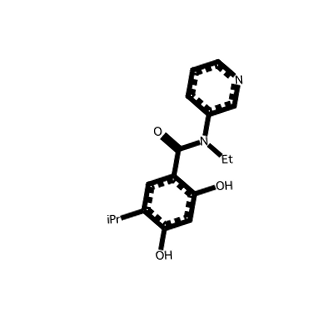 CCN(C(=O)c1cc(C(C)C)c(O)cc1O)c1cccnc1